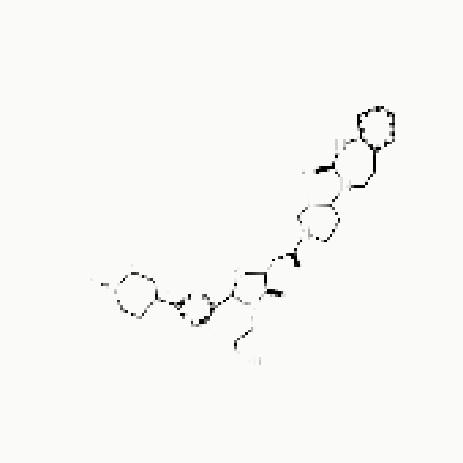 CC(C)(C)CCN1C(=O)[C@H](CC(=O)N2CCC(N3CCc4ccccc4NC3=O)CC2)SC1c1cnc(C2CCN(C(=O)O)CC2)s1